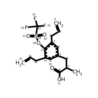 C=CCc1cc(CC(C)C(=O)O)cc(CC=C)c1OS(=O)(=O)C(F)(F)F